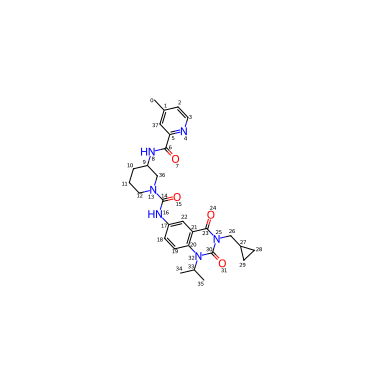 Cc1ccnc(C(=O)NC2CCCN(C(=O)Nc3ccc4c(c3)c(=O)n(CC3CC3)c(=O)n4C(C)C)C2)c1